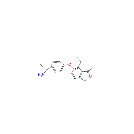 CCc1c(Oc2ccc(C(C)N)cc2)ccc2c1B(C)OC2